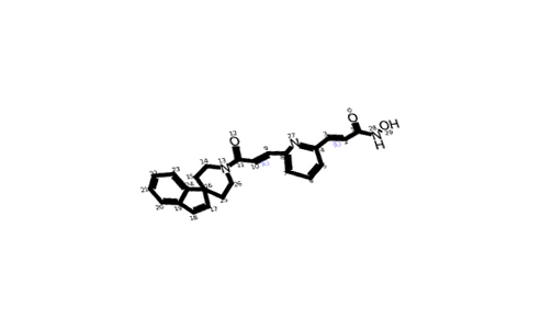 O=C(/C=C/c1cccc(/C=C/C(=O)N2CCC3(C=Cc4ccccc43)CC2)n1)NO